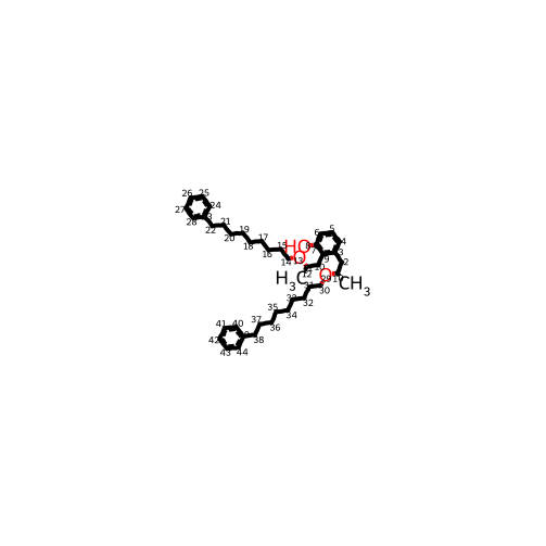 CC(Cc1cccc(O)c1CC(C)OCCCCCCCCCc1ccccc1)OCCCCCCCCCc1ccccc1